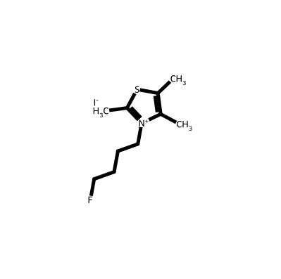 Cc1sc(C)[n+](CCCCF)c1C.[I-]